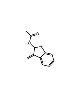 C=C1c2ccccc2SC1OC(C)=O